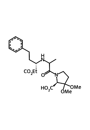 CCOC(=O)[C@H](CCc1ccccc1)NC(C)C(=O)N1CCC(OC)(OC)[C@H]1C(=O)O